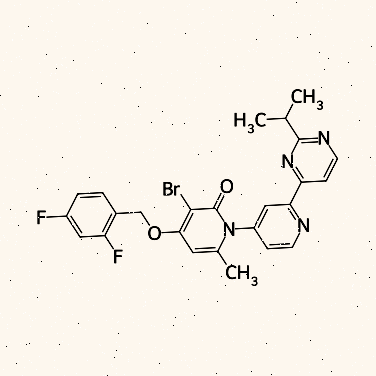 Cc1cc(OCc2ccc(F)cc2F)c(Br)c(=O)n1-c1ccnc(-c2ccnc(C(C)C)n2)c1